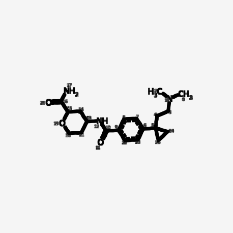 CN(C)CCC1(c2ccc(C(=O)NC3[C]C(C(N)=O)OCC3)cc2)CC1